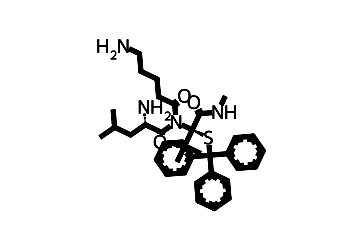 CNC(=O)[C@@](SC(c1ccccc1)(c1ccccc1)c1ccccc1)(N(C(=O)CCCCN)C(=O)[C@@H](N)CC(C)C)C(C)(C)C